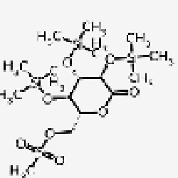 C[Si](C)(C)O[C@H]1[C@H](O[Si](C)(C)C)[C@@H](O[Si](C)(C)C)C(=O)O[C@@H]1COS(C)(=O)=O